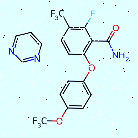 NC(=O)c1c(Oc2ccc(OC(F)(F)F)cc2)ccc(C(F)(F)F)c1F.c1cncnc1